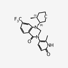 Cc1[nH]c(=O)ccc1N1CN([C@@H]2CCCC[C@@H]2C)c2cc(C(F)(F)F)ccc2C1=O